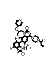 C=CC(=O)N1CCN(c2nc(=O)n3c4c(c(-c5c(F)cc(F)c6sc(=O)[nH]c56)c(C(F)(F)F)cc24)SCC(Oc2ccncc2)C3)CC1